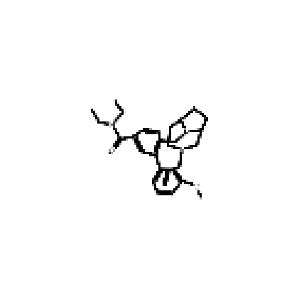 C=CCN1CCC2CCC(C1)N2Cc1ccc(C(=O)N(CC)CC)cc1-c1cccc(OC)c1